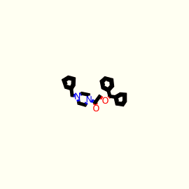 O=C(COC(c1ccccc1)c1ccccc1)N1CCN(Cc2ccccc2)CC1